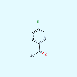 CC(C)(C)C(=O)c1ccc(Br)cc1